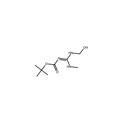 CN/C(=N\C(=O)OC(C)(C)C)NCO